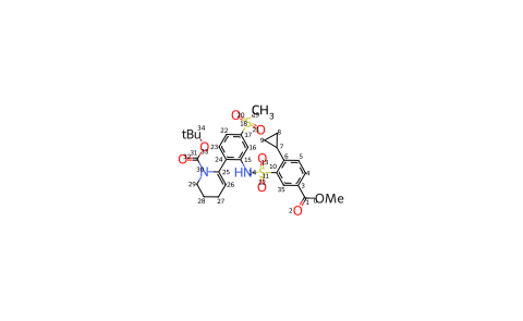 COC(=O)c1ccc(C2CC2)c(S(=O)(=O)Nc2cc(S(C)(=O)=O)ccc2C2=CCCCN2C(=O)OC(C)(C)C)c1